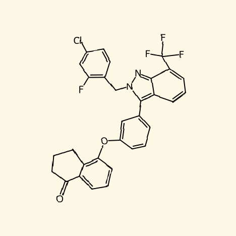 O=C1CCCc2c(Oc3cccc(-c4c5cccc(C(F)(F)F)c5nn4Cc4ccc(Cl)cc4F)c3)cccc21